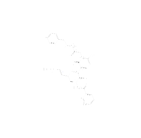 CCOC(=O)/C=C/CC[C@H](NC(=O)c1cccnc1)C(=O)N(C)c1ccc(C)n(CC(=O)NCCc2ccccc2)c1=O